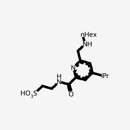 CCCCCCNCc1cc(C(C)C)cc(C(=O)NCCS(=O)(=O)O)n1